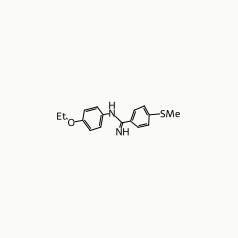 CCOc1ccc(NC(=N)c2ccc(SC)cc2)cc1